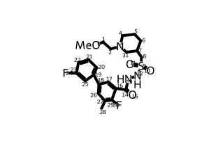 COCCN1CCCC(CS(=O)(=O)NNC(=O)c2cc(-c3cccc(F)c3)cc(C)c2F)C1